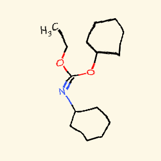 CCOC(=NC1CCCCC1)OC1CCCCC1